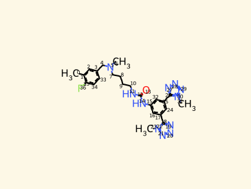 Cc1cc(CN(C)CCCCNC(=O)Nc2cc(-c3nnnn3C)cc(-c3nnnn3C)c2)ccc1F